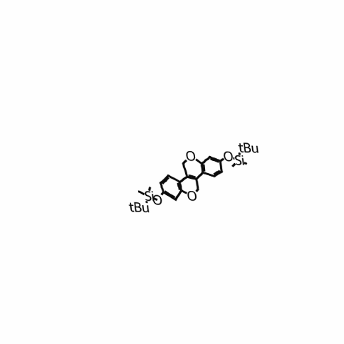 CC(C)(C)[Si](C)(C)Oc1ccc2c(c1)OCC1=C2COc2cc(O[Si](C)(C)C(C)(C)C)ccc21